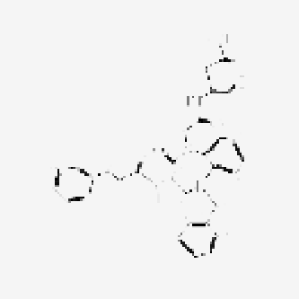 O=CC(CC(=O)O)NC(=O)CN1C(=O)[C@@H](NC(=O)CCc2ccccc2)CN(Cc2ccccc2)c2ccccc21